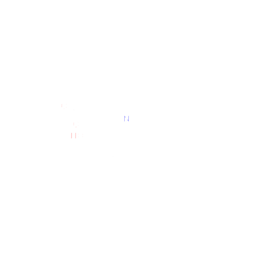 COC(=O)c1cccc2c1c1c(O)cc(C)cc1n2Cc1ccc2ccccc2c1